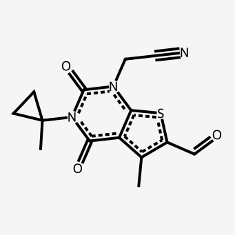 Cc1c(C=O)sc2c1c(=O)n(C1(C)CC1)c(=O)n2CC#N